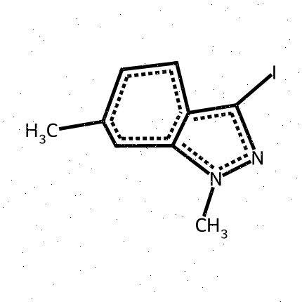 Cc1ccc2c(I)nn(C)c2c1